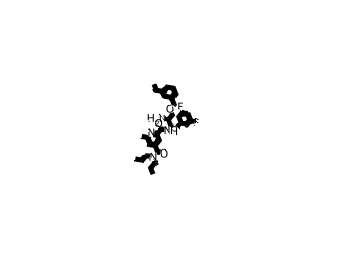 CCCN(CCC)C(=O)c1cc(C)nc(C(=O)N[C@@H](Cc2cc(F)cc(F)c2)C(N)COCc2cccc(CC)c2)c1